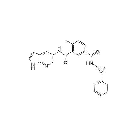 Cc1ccc(C(=O)NC2CC2c2ccccc2)cc1C(=O)Nc1cnc2[nH]ccc2c1